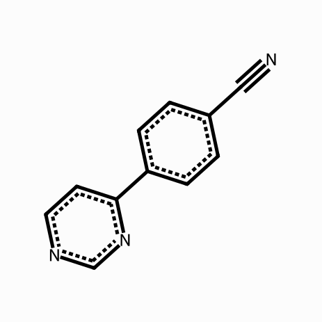 N#Cc1ccc(-c2ccncn2)cc1